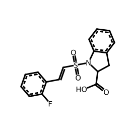 O=C(O)C1Cc2ccccc2N1S(=O)(=O)/C=C/c1ccccc1F